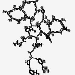 COC(CNC(c1nc2cnccc2c(=O)n1Cc1cccc2ccccc12)C(C)C)OC